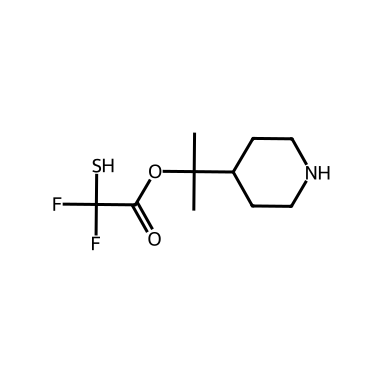 CC(C)(OC(=O)C(F)(F)S)C1CCNCC1